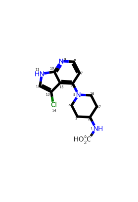 O=C(O)NC1CCN(c2ccnc3[nH]cc(Cl)c23)CC1